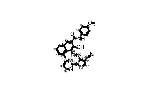 COc1ccc(NC(=O)c2cc3cccc(C)c3c(/N=N/c3c(C#N)cnn3-c3ncccn3)c2O)cc1